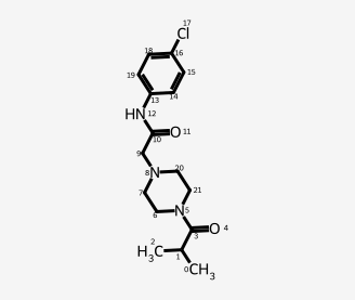 CC(C)C(=O)N1CCN(CC(=O)Nc2ccc(Cl)cc2)CC1